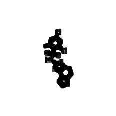 Cc1cc(Cl)cc(Cl)c1S(=O)(=O)Nc1nc2c(s1)CCc1sccc1-2